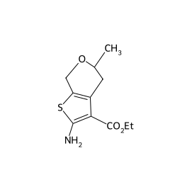 CCOC(=O)c1c(N)sc2c1CC(C)OC2